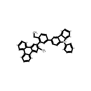 CCc1ccc(-c2ccc3c(c2)c2ccccc2n3-c2ccccc2)cc1-c1cc2c3ccccc3c3ccccc3c2cc1C